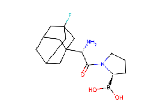 N[C@H](C(=O)N1CCC[C@H]1B(O)O)C12CC3CC(CC(F)(C3)C1)C2